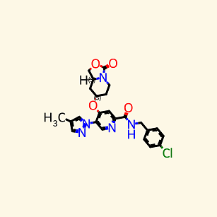 Cc1cnn(-c2cnc(C(=O)NCc3ccc(Cl)cc3)cc2O[C@H]2CCN3C(=O)OC[C@@H]3C2)c1